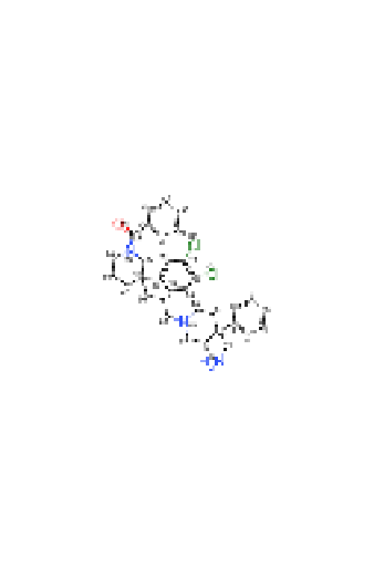 NCC1(c2ccccc2)CCN(CCCC2(c3ccc(Cl)c(Cl)c3)CCCN(C(=O)c3ccccc3)C2)CC1